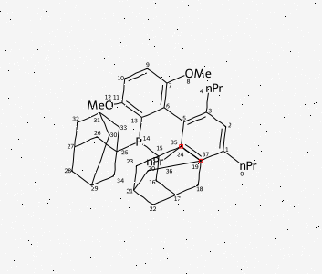 CCCc1cc(CCC)c(-c2c(OC)ccc(OC)c2P(C23CC4CC(CC(C4)C2)C3)C23CC4CC(CC(C4)C2)C3)c(CCC)c1